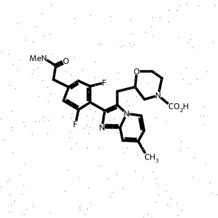 CNC(=O)Cc1cc(F)c(-c2nc3cc(C)ccn3c2CC2CN(C(=O)O)CCO2)c(F)c1